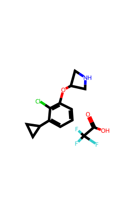 Clc1c(OC2CNC2)cccc1C1CC1.O=C(O)C(F)(F)F